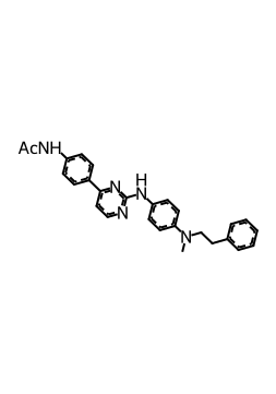 CC(=O)Nc1ccc(-c2ccnc(Nc3ccc(N(C)CCc4ccccc4)cc3)n2)cc1